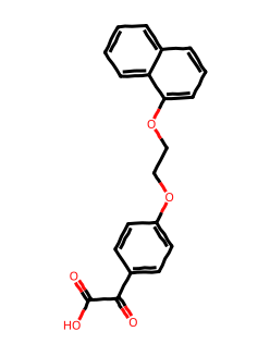 O=C(O)C(=O)c1ccc(OCCOc2cccc3ccccc23)cc1